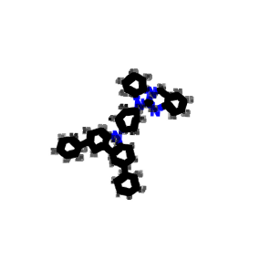 c1ccc(-c2ccc3c(c2)c2cc(-c4ccccc4)ccc2n3-c2ccc(N3C4=Nc5ccccc5CN4c4ccccc43)cc2)cc1